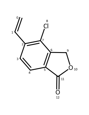 C=Cc1ccc2c(c1Cl)COC2=O